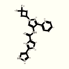 O=C(Nc1cn(C2CC(F)(F)C2)nc1-c1ccccn1)c1csc(-c2cn[nH]c2)n1